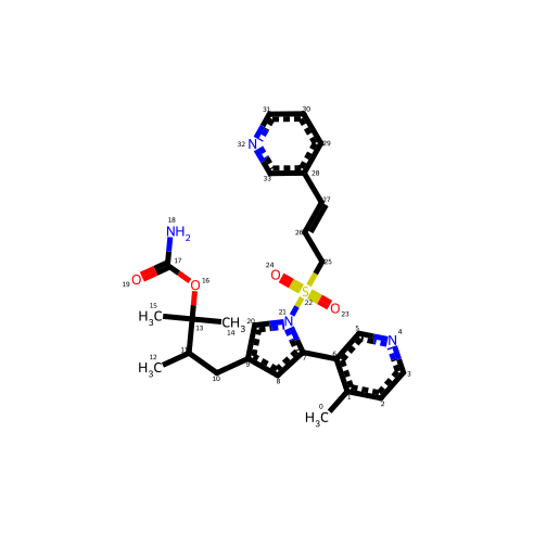 Cc1ccncc1-c1cc(CC(C)C(C)(C)OC(N)=O)cn1S(=O)(=O)CC=Cc1cccnc1